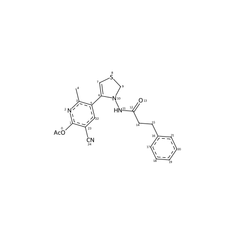 CC(=O)Oc1nc(C)c(C2=CSCN2NC(=O)CCc2ccccc2)cc1C#N